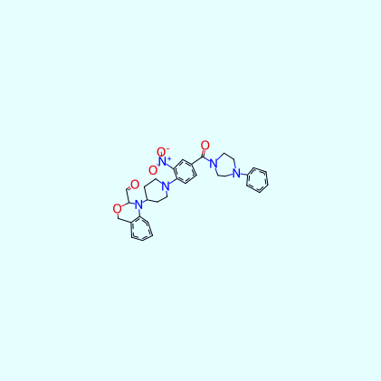 O=CC1OCc2ccccc2N1C1CCN(c2ccc(C(=O)N3CCN(c4ccccc4)CC3)cc2[N+](=O)[O-])CC1